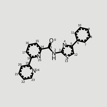 O=C(Nc1nc(-c2ccccc2)cs1)c1cccc(-c2ccccn2)n1